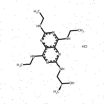 CCNc1nc(NCC)c2nc(NC[C@H](C)O)nc(NCC)c2n1.Cl